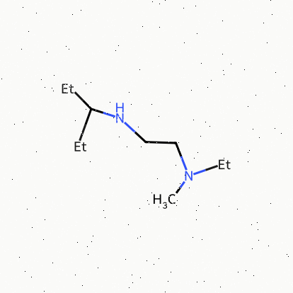 CCC(CC)NCCN(C)CC